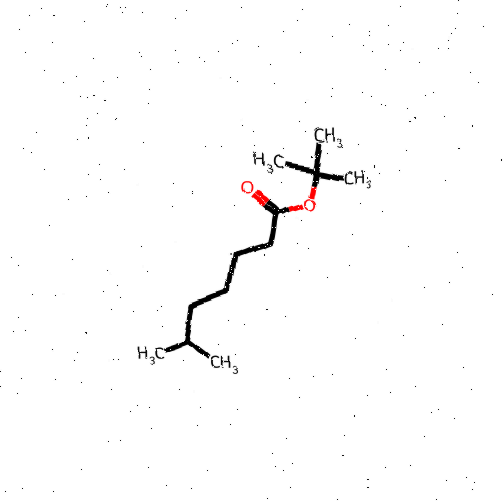 CC(C)CC[CH]CC(=O)OC(C)(C)C